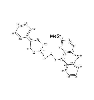 CSc1ccc2c(c1)N(CCCN1CCC(c3ccccc3)CC1)c1ccccc1S2